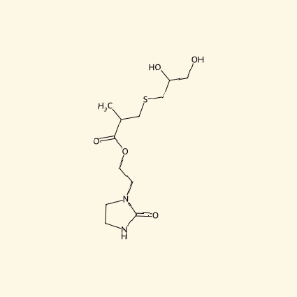 CC(CSCC(O)CO)C(=O)OCCN1CCNC1=O